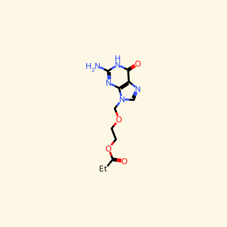 CCC(=O)OCCOCn1cnc2c(=O)[nH]c(N)nc21